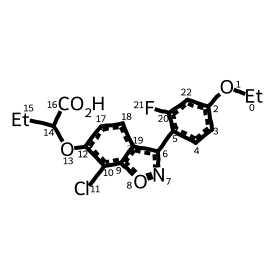 CCOc1ccc(-c2noc3c(Cl)c(OC(CC)C(=O)O)ccc23)c(F)c1